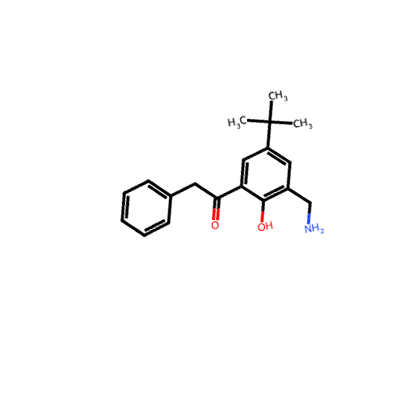 CC(C)(C)c1cc(CN)c(O)c(C(=O)Cc2ccccc2)c1